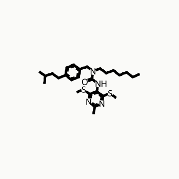 CCCCCCCN(Cc1ccc(CCC(C)C)cc1)C(=O)Nc1c(SC)nc(C)nc1SC